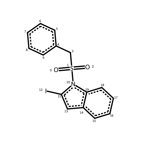 O=S(=O)(Cc1ccccc1)n1c(I)cc2ccccc21